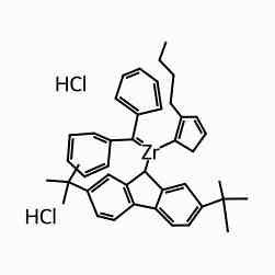 CCCCC1=[C]([Zr](=[C](c2ccccc2)c2ccccc2)[CH]2c3cc(C(C)(C)C)ccc3-c3ccc(C(C)(C)C)cc32)CC=C1.Cl.Cl